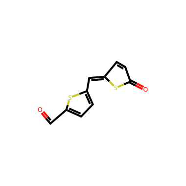 O=Cc1ccc(/C=C2/C=CC(=O)S2)s1